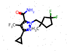 CC1(Cn2nc(C3CC3)c(C(F)(F)F)c2C(N)=O)CCC(F)(F)C1